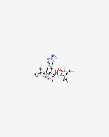 Cc1cc(C)c(CNC(=O)c2cc(-c3cnc(N)nc3)cc3c(C(C)C)cn(C)c23)c(=O)[nH]1